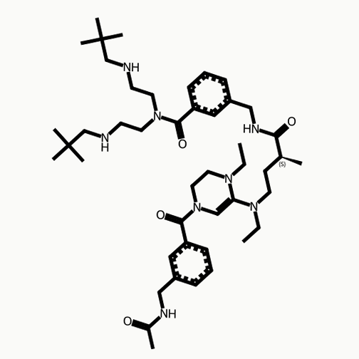 CCN(CC[C@H](C)C(=O)NCc1cccc(C(=O)N(CCNCC(C)(C)C)CCNCC(C)(C)C)c1)C1=CN(C(=O)c2cccc(CNC(C)=O)c2)CCN1CC